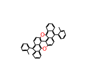 Cc1ccccc1-c1c2ccccc2c2oc3ccc4c(-c5ccccc5C)c5ccccc5c5oc6ccc1c2c6-c3c45